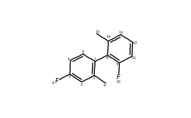 Cc1cc(F)ccc1-c1c(F)[c]ccc1C